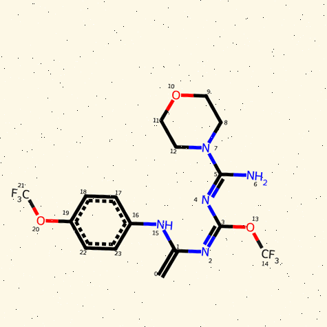 C=C(/N=C(\N=C(/N)N1CCOCC1)OC(F)(F)F)Nc1ccc(OC(F)(F)F)cc1